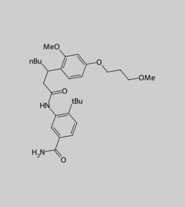 CCCCC(CC(=O)Nc1cc(C(N)=O)ccc1C(C)(C)C)c1ccc(OCCCOC)cc1OC